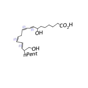 CCCCCC(/C=C/C=C\C/C=C\C=C\C(O)CCCCCC(=O)O)CO